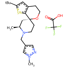 C[C@H]1C[C@@]2(CCN1Cc1cnn(C)c1)OCCc1cc(C(C)(C)C)sc12.O=C(O)C(F)(F)F